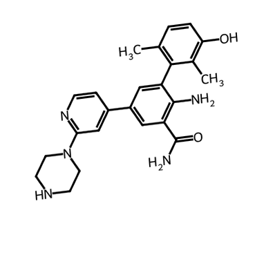 Cc1ccc(O)c(C)c1-c1cc(-c2ccnc(N3CCNCC3)c2)cc(C(N)=O)c1N